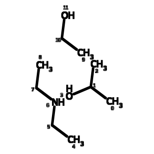 CC(C)O.CCNCC.CCO